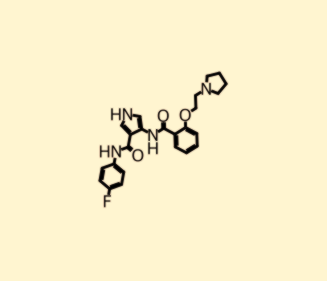 O=C(Nc1ccc(F)cc1)c1c[nH]cc1NC(=O)c1ccccc1OCCN1CCCC1